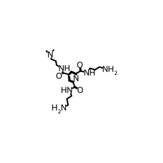 CN(C)CCCNC(=O)c1cc(C(=O)NCCCN)nc(C(=O)NCCCN)c1